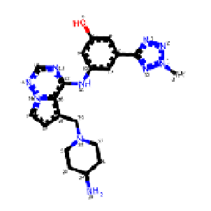 CC(C)n1nnc(-c2cc(O)cc(Nc3ncnn4ccc(CN5CCC(N)CC5)c34)c2)n1